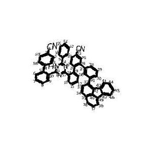 N#Cc1ccc(-c2ccccc2C2N=C(c3ccccc3-c3ccc(C#N)cc3-c3cccc(-c4ccc5cccc6c5c4-c4ccccc4-6)c3)N=C(c3ccccc3)N2)cc1